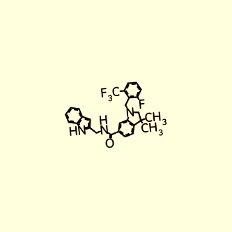 CC1(C)CN(Cc2c(F)cccc2C(F)(F)F)c2cc(C(=O)NCc3cc4ccccc4[nH]3)ccc21